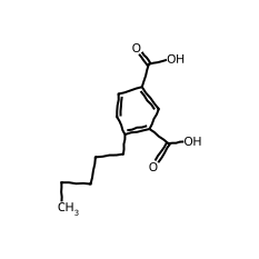 CCCCCc1ccc(C(=O)O)cc1C(=O)O